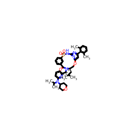 Cc1cccc(C)c1-c1cc2nc(n1)NS(=O)(=O)c1cccc(c1)C(=O)N(Cc1cccc(N(C(C)C)C3CCOCC3)n1)[C@H](CC(C)(C)C)CO2